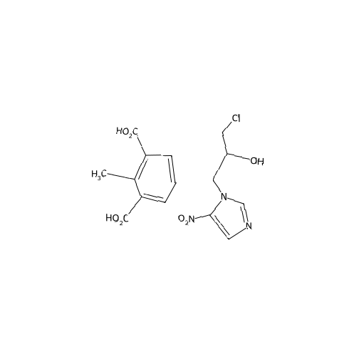 Cc1c(C(=O)O)cccc1C(=O)O.O=[N+]([O-])c1cncn1CC(O)CCl